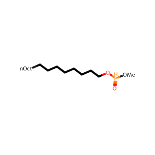 CCCCCCCCCCCCCCCCO[PH](=O)OC